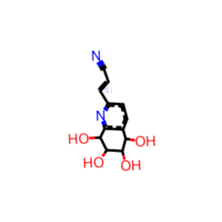 N#C/C=C/c1ccc2c(n1)C(O)C(O)C(O)C2O